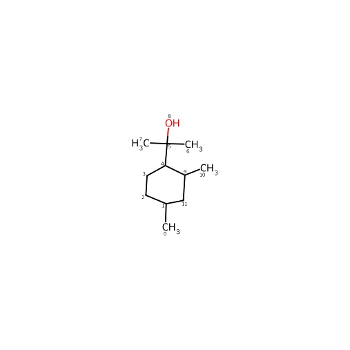 CC1CCC(C(C)(C)O)C(C)C1